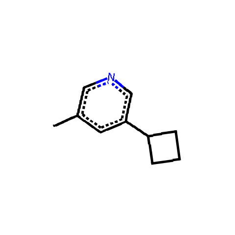 Cc1cncc(C2CCC2)c1